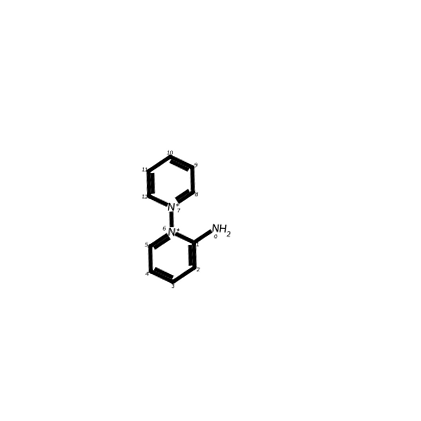 Nc1cccc[n+]1-[n+]1ccccc1